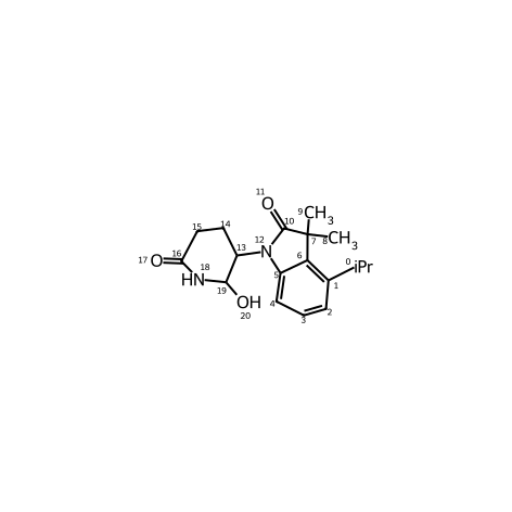 CC(C)c1cccc2c1C(C)(C)C(=O)N2C1CCC(=O)NC1O